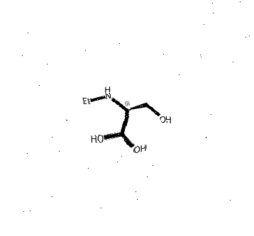 CCN[C@@H](CO)C(O)O